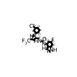 O=C(NCc1cc(C(F)(F)F)nn1-c1cccc(Cl)c1)Nc1cc(F)cc2[nH]ncc12